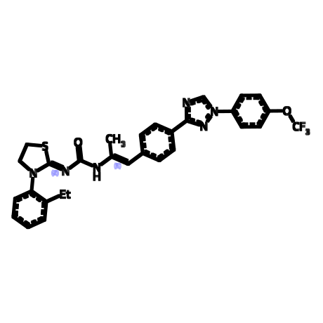 CCc1ccccc1N1CCS/C1=N\C(=O)N/C(C)=C/c1ccc(-c2ncn(-c3ccc(OC(F)(F)F)cc3)n2)cc1